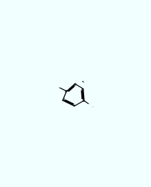 CC(=O)O.O=[N+]([O-])c1ccc(O)cc1